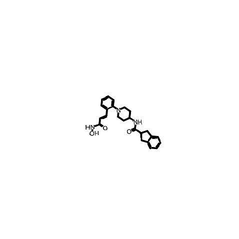 O=C(C=Cc1ccccc1N1CCC(NC(=O)C2Cc3ccccc3C2)CC1)NO